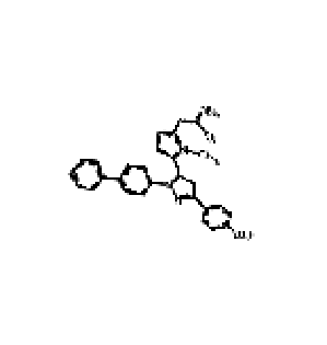 CCCCC(CC)Cc1ccc(C2CC(c3ccc(C(=O)O)cc3)=NN2c2ccc(-c3ccccc3)cc2)n1C